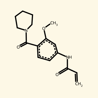 C=CC(=O)Nc1ccc(C(=O)N2CCCCC2)c(OC)c1